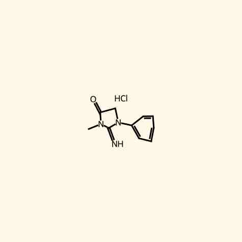 CN1C(=N)N(c2ccccc2)CC1=O.Cl